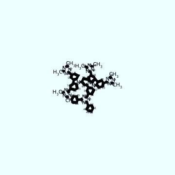 Cc1nc(C)nc(-c2ccc3c(c2)c2cc(-c4nc(C)nc(C)n4)ccc2n3-c2ccnc(-c3cc(-c4nc(-c5ccccc5)nc(-c5ccccc5)n4)ccc3-n3c4ccc(-c5nc(C)nc(C)n5)cc4c4cc(-c5nc(C)nc(C)n5)ccc43)c2)n1